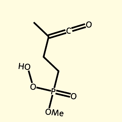 COP(=O)(CCC(C)=C=O)OO